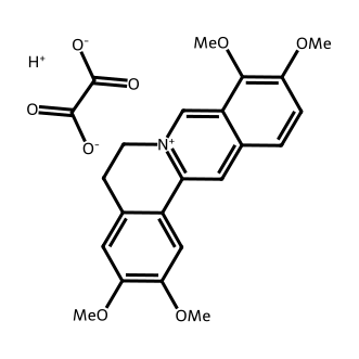 COc1cc2c(cc1OC)-c1cc3ccc(OC)c(OC)c3c[n+]1CC2.O=C([O-])C(=O)[O-].[H+]